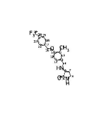 Cc1cc(CNC2CCNC2=O)ccc1OCc1ccc(C(F)(F)F)cc1